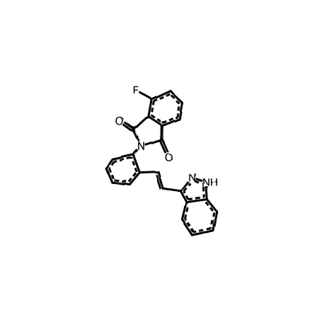 O=C1c2cccc(F)c2C(=O)N1c1ccccc1C=Cc1n[nH]c2ccccc12